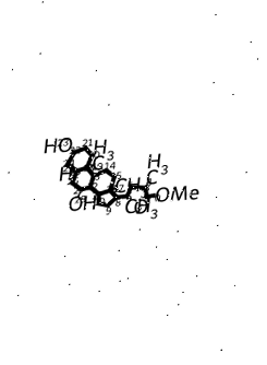 COC(=O)[C@@H](C)C[C@@H](C)C1CCC2C3C(CC[C@@]21C)[C@@]1(C)CC[C@@H](O)C[C@H]1C[C@H]3O